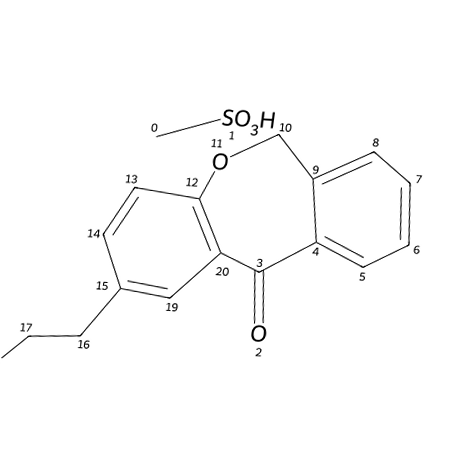 CS(=O)(=O)O.O=C1c2ccccc2COc2ccc(CCO)cc21